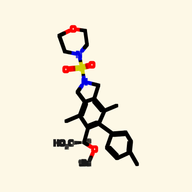 Cc1ccc(-c2c(C)c3c(c(C)c2[C@H](OC(C)(C)C)C(=O)O)CN(S(=O)(=O)N2CCOCC2)C3)cc1